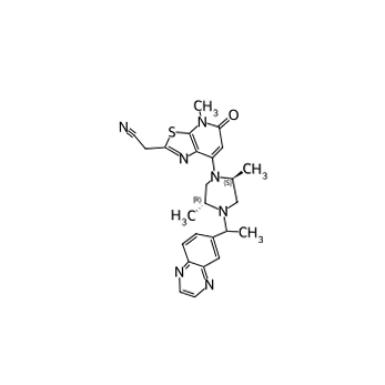 CC(c1ccc2nccnc2c1)N1C[C@H](C)N(c2cc(=O)n(C)c3sc(CC#N)nc23)C[C@H]1C